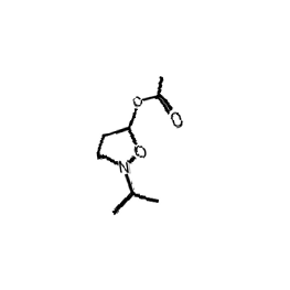 CC(=O)OC1CCN(C(C)C)O1